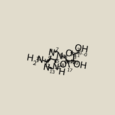 C[C@@H](O)[C@H]1O[C@H](n2cnc3c(N)ncnc32)[C@@](C)(O)[C@@H]1O